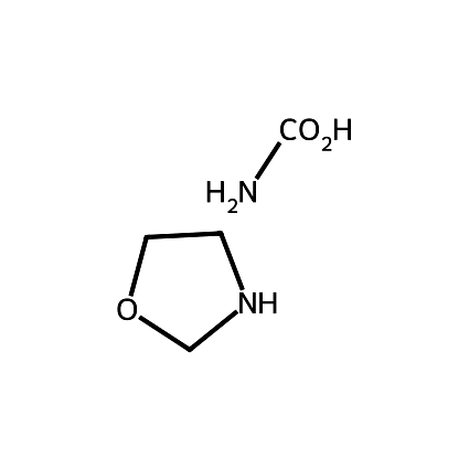 C1COCN1.NC(=O)O